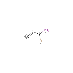 C=CC(P)S